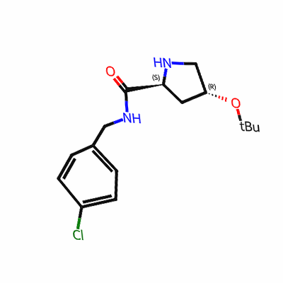 CC(C)(C)O[C@H]1CN[C@H](C(=O)NCc2ccc(Cl)cc2)C1